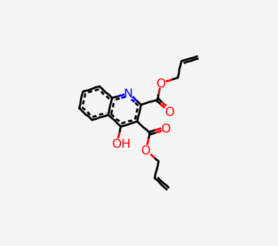 C=CCOC(=O)c1nc2ccccc2c(O)c1C(=O)OCC=C